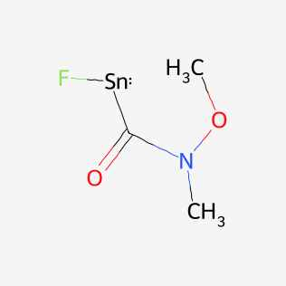 CON(C)[C](=O)[Sn][F]